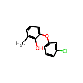 Cc1cccc(Oc2cccc(Cl)c2)c1O